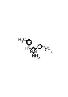 CN[C@H]1CCN(c2cc(Nc3cccc(C)c3)nc(N)n2)C1